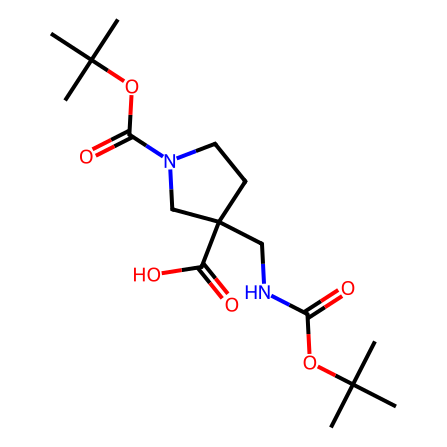 CC(C)(C)OC(=O)NCC1(C(=O)O)CCN(C(=O)OC(C)(C)C)C1